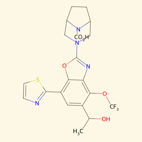 CC(O)c1cc(-c2nccs2)c2oc(N3CC4CCC(C3)N4C(=O)O)nc2c1OC(F)(F)F